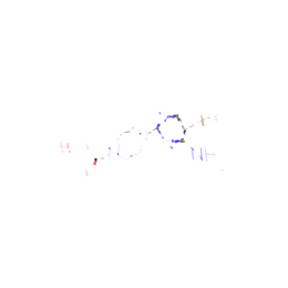 Nc1nc(N2CCN(C(=O)O)CC2)ncc1Br